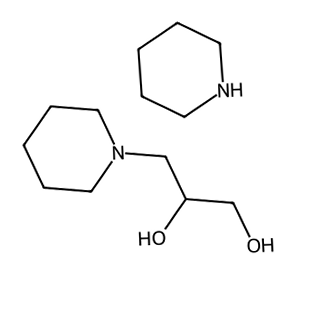 C1CCNCC1.OCC(O)CN1CCCCC1